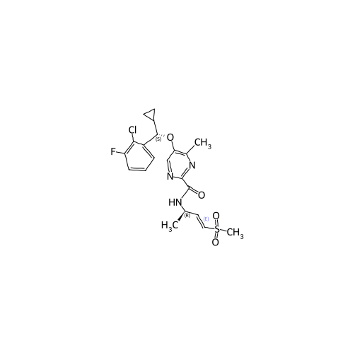 Cc1nc(C(=O)N[C@H](C)/C=C/S(C)(=O)=O)ncc1O[C@H](c1cccc(F)c1Cl)C1CC1